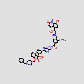 COc1cc(C(=O)NCc2cnc(-c3cccc(C(O)(C(=O)OCC4CCN(Cc5ccccc5)CC4)c4ccccc4)c3)cn2)ccc1CNCC(O)c1ccc(O)c2[nH]c(=O)ccc12